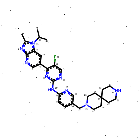 Cc1nc2ncc(-c3nc(Nc4ccc(CN5CCC6(CCNCC6)CC5)cn4)ncc3F)cc2n1C(C)C